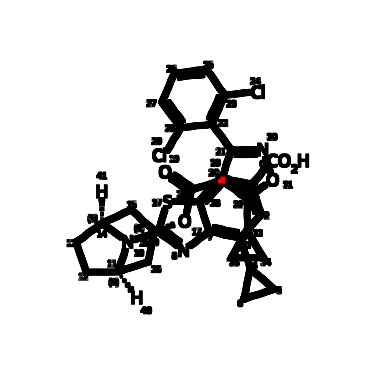 O=C(O)c1cc(C2CC2)c2nc(N3[C@@H]4CC[C@H]3C[C@H](OC(=O)c3c(-c5c(Cl)cccc5Cl)noc3C3CC3)C4)sc2c1